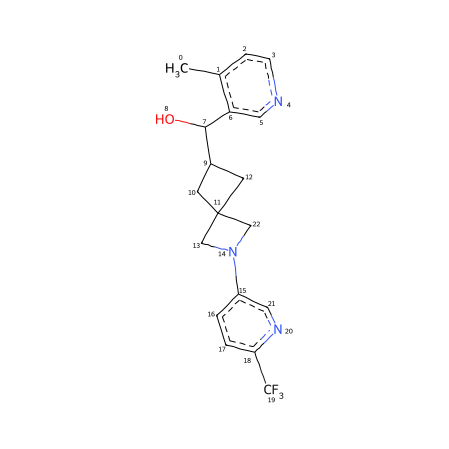 Cc1ccncc1C(O)C1CC2(C1)CN(c1ccc(C(F)(F)F)nc1)C2